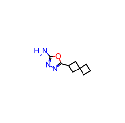 Nc1nnc(C2CC3(CCC3)C2)o1